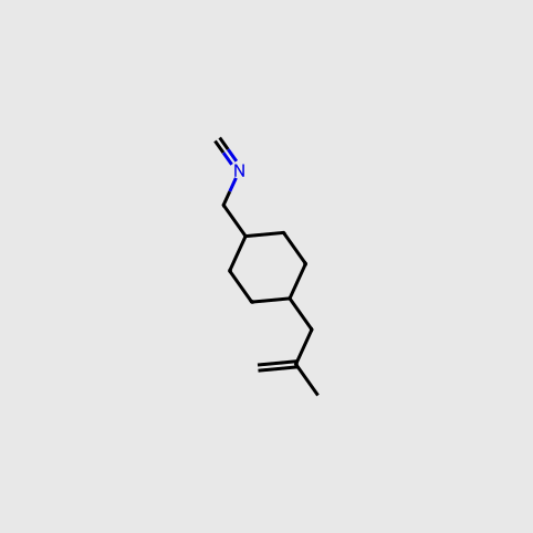 C=NCC1CCC(CC(=C)C)CC1